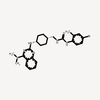 Cc1cc(Br)ccc1NC(=O)NC[C@H]1CC[C@@H](Nc2nc(N(C)C)c3ccccc3n2)CC1